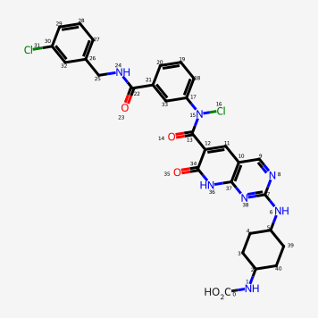 O=C(O)NC1CCC(Nc2ncc3cc(C(=O)N(Cl)c4cccc(C(=O)NCc5cccc(Cl)c5)c4)c(=O)[nH]c3n2)CC1